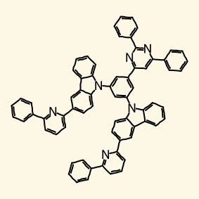 c1ccc(-c2cccc(-c3ccc4c(c3)c3ccccc3n4-c3cc(-c4cc(-c5ccccc5)nc(-c5ccccc5)n4)cc(-n4c5ccccc5c5cc(-c6cccc(-c7ccccc7)n6)ccc54)c3)n2)cc1